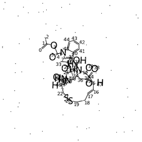 C=C(C)OC(=O)n1cc(C[C@H]2NC(=O)C[C@H]3/C=C/CCSSC[C@@H](NC2=O)C(=O)N[C@H](C(C)C)[C@@H](O)CC(=O)O3)c2ccccc21